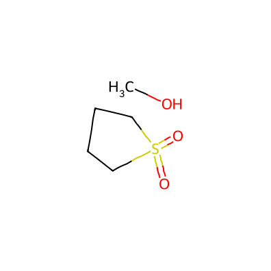 CO.O=S1(=O)CCCC1